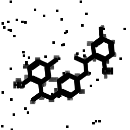 Cc1ccc(O)c(C(C)Cc2ccc(CC(C)c3cc(C)ccc3O)cc2)c1